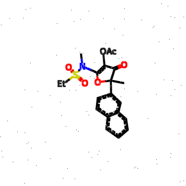 CCS(=O)(=O)N(C)C1=C(OC(C)=O)C(=O)C(C)(c2ccc3ccccc3c2)O1